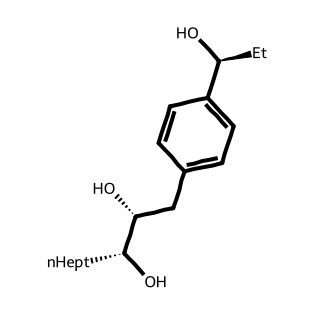 CCCCCCC[C@@H](O)[C@H](O)Cc1ccc([C@@H](O)CC)cc1